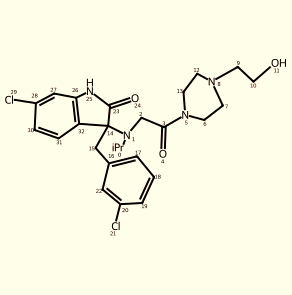 CC(C)N(CC(=O)N1CCN(CCO)CC1)C1(Cc2cccc(Cl)c2)C(=O)Nc2cc(Cl)ccc21